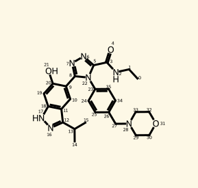 CCNC(=O)c1nnc(-c2cc3c(C(C)C)n[nH]c3cc2O)n1-c1ccc(CN2CCOCC2)cc1